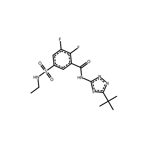 CCNS(=O)(=O)c1cc(F)c(F)c(C(=O)Nc2nnc(C(C)(C)C)s2)c1